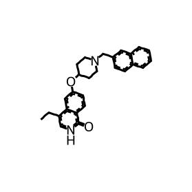 CCc1c[nH]c(=O)c2ccc(OC3CCN(Cc4ccc5ccccc5c4)CC3)cc12